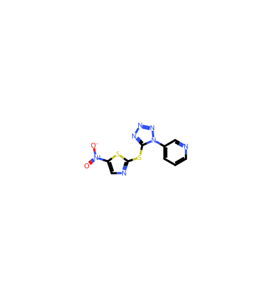 O=[N+]([O-])c1cnc(Sc2nnnn2-c2cccnc2)s1